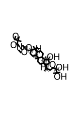 C[C@@H]1CC([C@H](O)C(C)(C)O)OC2[C@H]1[C@@]1(C)CCC34C[C@@]35CC[C@H](O[C@H]3CN(C(=O)C6(C)COC6)CCO3)C(C)(C)[C@@H]5CCC4[C@]1(C)[C@H]2O